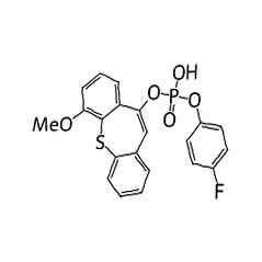 COc1cccc2c1Sc1ccccc1C=C2OP(=O)(O)Oc1ccc(F)cc1